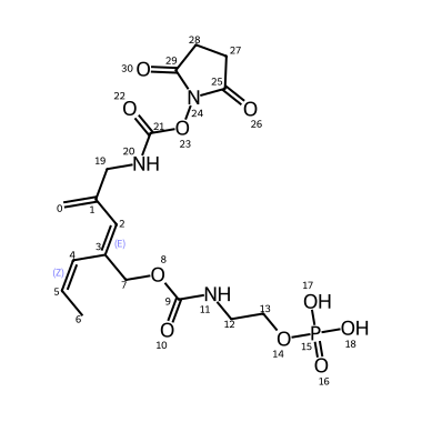 C=C(/C=C(\C=C/C)COC(=O)NCCOP(=O)(O)O)CNC(=O)ON1C(=O)CCC1=O